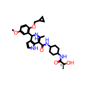 COc1ccc(OCC2CC2)c(C2NC(C)=C(C(=O)NC3CCC(NC(=O)[C@H](C)O)CC3)c3[nH]ccc32)c1